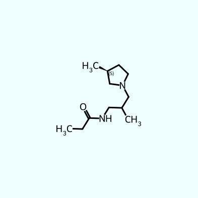 CCC(=O)NCC(C)CN1CC[C@H](C)C1